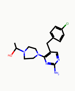 CC(O)N1CCN(c2nc(N)ncc2Cc2ccc(Cl)cc2)CC1